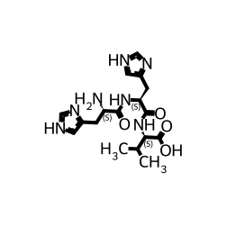 CC(C)[C@H](NC(=O)[C@H](Cc1c[nH]cn1)NC(=O)[C@@H](N)Cc1c[nH]cn1)C(=O)O